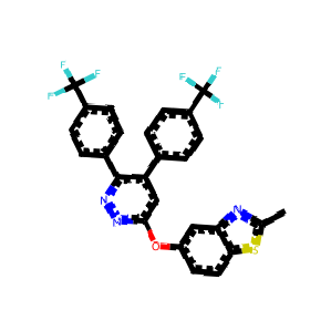 Cc1nc2cc(Oc3cc(-c4ccc(C(F)(F)F)cc4)c(-c4ccc(C(F)(F)F)cc4)nn3)ccc2s1